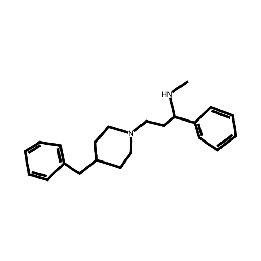 CNC(CCN1CCC(Cc2ccccc2)CC1)c1ccccc1